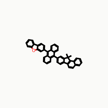 CC1(C)c2cc(-c3c4ccccc4c(-c4ccc5c(c4)oc4ccccc45)c4ccccc34)ccc2-c2ccc3ccccc3c21